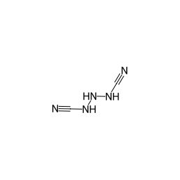 N#CNNNC#N